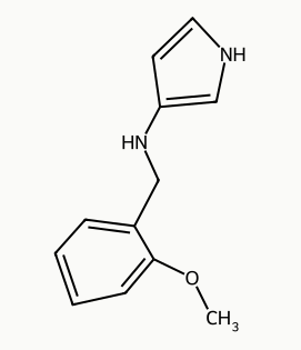 COc1ccccc1CNc1cc[nH]c1